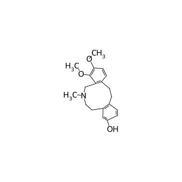 COc1ccc2c(c1OC)CN(C)CCc1cc(O)ccc1CC2